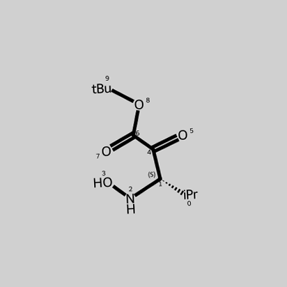 CC(C)[C@H](NO)C(=O)C(=O)OC(C)(C)C